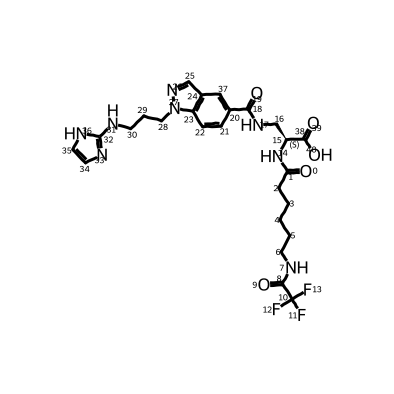 O=C(CCCCCNC(=O)C(F)(F)F)N[C@@H](CNC(=O)c1ccc2c(cnn2CCCNc2ncc[nH]2)c1)C(=O)O